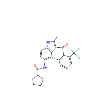 Cc1[nH]c2ccc(NC(=O)C3CCCC3)cc2c1C(=O)c1c(F)cccc1C(F)(F)F